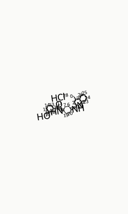 Cc1cc(NC2CCC(NC(=O)c3cccc(O)c3)CC2)nc2ccccc12.Cl